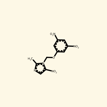 Cc1ncc([N+](=O)[O-])n1COc1cc([N+](=O)[O-])cc([N+](=O)[O-])c1